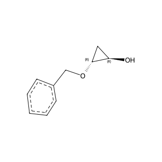 O[C@@H]1C[C@H]1OCc1ccccc1